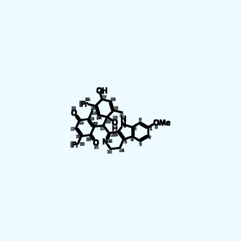 COc1ccc2c3c([nH]c2c1)C(C(C1=C(C)C(=O)C=C(C(C)C)C1=O)C1(O)C=C(C(C)C)C(O)C=C1C)=NCC3